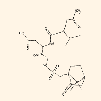 CC(C)C(CC(N)=O)C(=O)NC(CC(=O)O)C(=O)CNS(=O)(=O)CC12CCC(CC1=O)C2(C)C